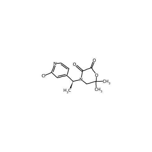 C[C@@H](c1ccnc(Cl)c1)N1CC(C)(C)OC(=O)C1=O